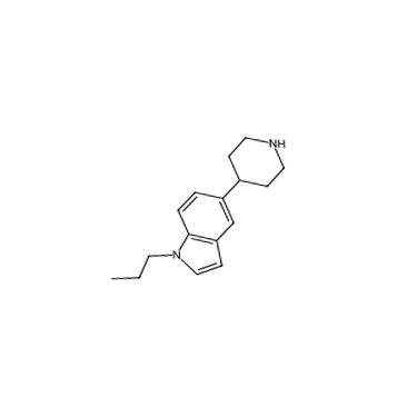 CCCn1ccc2cc(C3CCNCC3)ccc21